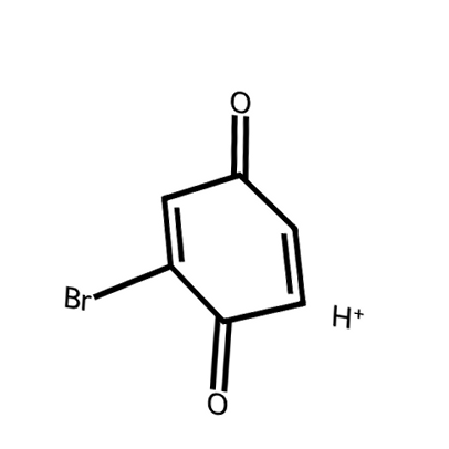 O=C1C=CC(=O)C(Br)=C1.[H+]